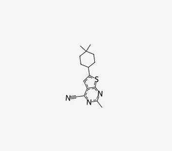 Cc1nc(C#N)c2cc(C3CCC(C)(C)CC3)sc2n1